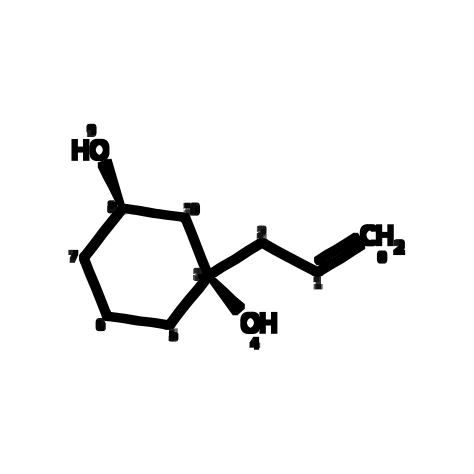 C=CC[C@]1(O)CCC[C@@H](O)C1